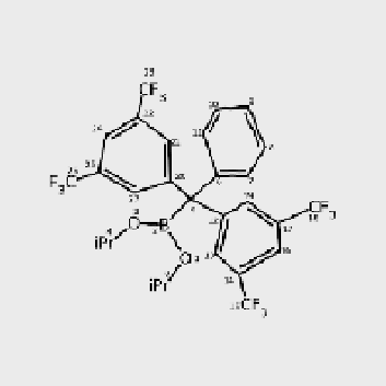 CC(C)OB(OC(C)C)C(c1ccccc1)(c1cc(C(F)(F)F)cc(C(F)(F)F)c1)c1cc(C(F)(F)F)cc(C(F)(F)F)c1